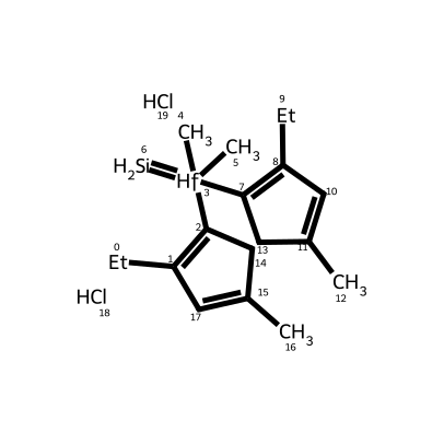 CCC1=[C]([Hf]([CH3])([CH3])(=[SiH2])[C]2=C(CC)C=C(C)C2)CC(C)=C1.Cl.Cl